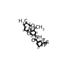 CC1\C=C(O[C@H](C)c2cccc(NC(=O)c3cccc(C(F)(F)F)c3)c2)/N=C(Cl)\C=C\C1